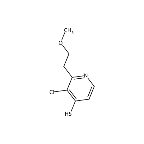 COCCc1nccc(S)c1Cl